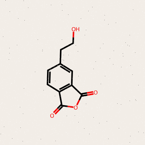 O=C1OC(=O)c2cc(CCO)ccc21